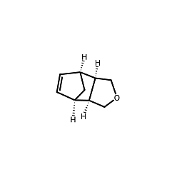 C1=C[C@H]2C[C@@H]1[C@H]1COC[C@H]12